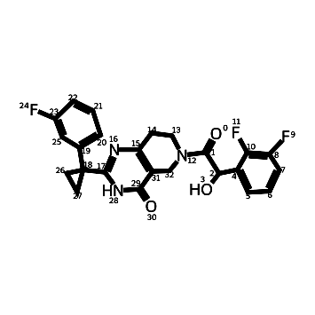 O=C(C(O)c1cccc(F)c1F)N1CCc2nc(C3(c4cccc(F)c4)CC3)[nH]c(=O)c2C1